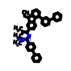 CCC1c2cc(C(/N=C(\NC)c3ccc(-c4ccccc4)cc3)=C(C)C)ccc2-c2c(-c3cccc(-c4ccccc4)c3)cccc21